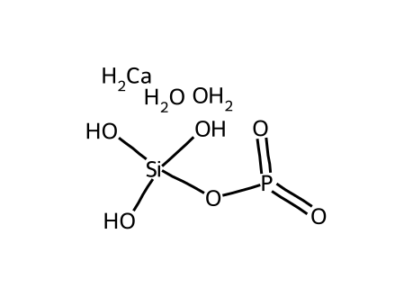 O.O.O=P(=O)O[Si](O)(O)O.[CaH2]